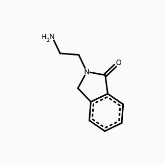 NCCN1Cc2ccccc2C1=O